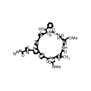 CNC(=O)C[C@@H]1NC(=O)c2csc(n2)-c2ccc(-c3nc(C(=O)N=[N+]=[N-])cs3)nc2-c2csc(n2)-c2csc(n2)[C@H]([C@@H](O)c2ccccc2)NC(=O)CNC(=O)c2nc(sc2COC)NC(=O)c2nc1sc2C